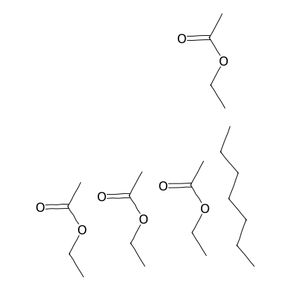 CCCCCCC.CCOC(C)=O.CCOC(C)=O.CCOC(C)=O.CCOC(C)=O